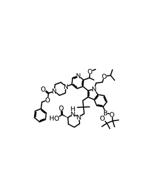 COC(C)c1ncc(N2CCN(C(=O)OCc3ccccc3)CC2)cc1-c1c(CC(C)(C)CN2CCC[C@@H](C(=O)O)N2)c2cc(B3OC(C)(C)C(C)(C)O3)ccc2n1CCOC(C)C